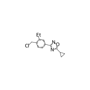 CCc1cc(-c2noc(C3CC3)n2)ccc1CCl